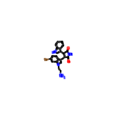 NCCn1cc(C2=C(c3c[nH]c4ccccc34)C(=O)NC2=O)c2ccc(Br)cc21